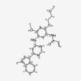 C=CC(=O)Nc1cc(Nc2cc(-c3cn(C)c4ccccc34)ncn2)c(OC)cc1OCCOC